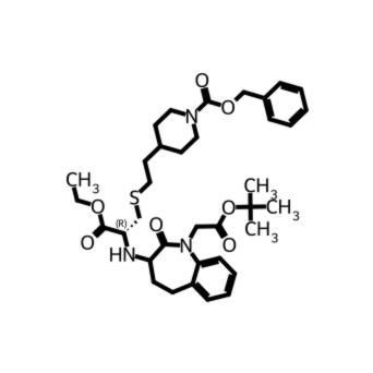 CCOC(=O)[C@H](CSCCC1CCN(C(=O)OCc2ccccc2)CC1)NC1CCc2ccccc2N(CC(=O)OC(C)(C)C)C1=O